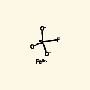 [Fe+3].[O-][Si]([O-])([O-])F